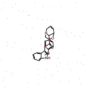 COc1ccc(C2C3C=CCN2CN(C(=O)Cc2c[nH]c4ccccc24)O3)cc1